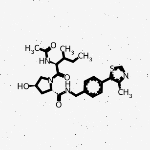 CCC(C)[C@H](NC(C)=O)C(=O)N1C[C@H](O)C[C@H]1C(=O)NCc1ccc(-c2scnc2C)cc1